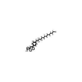 CCCCCCCCCCCCCCc1ccc(C(=O)CC(=O)OC)cc1